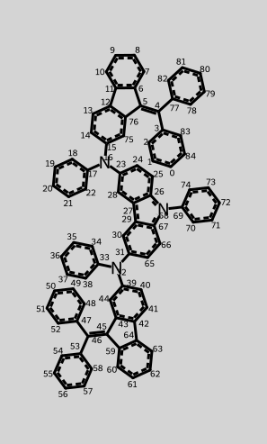 c1ccc(C(=C2c3ccccc3-c3ccc(N(c4ccccc4)c4ccc5c(c4)c4cc(N(c6ccccc6)c6ccc7c(c6)C(=C(c6ccccc6)c6ccccc6)c6ccccc6-7)ccc4n5-c4ccccc4)cc32)c2ccccc2)cc1